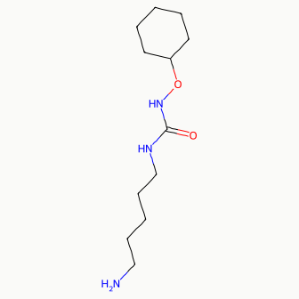 NCCCCCNC(=O)NOC1CCCCC1